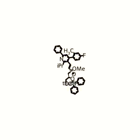 COP(=O)(/C=C/c1c(-c2ccc(F)cc2C)cc(-c2ccccc2)nc1C(C)C)C[C@H](CC(=O)O)O[Si](c1ccccc1)(c1ccccc1)C(C)(C)C